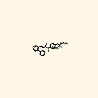 COP(=O)(Cc1ccc(NC(=O)/C=C/c2cnccc2-c2ccccc2)cc1)OC